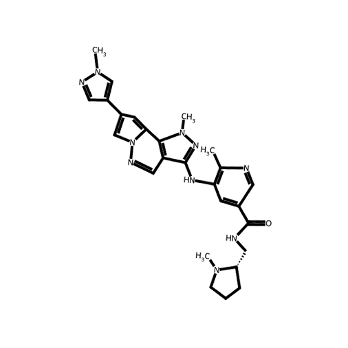 Cc1ncc(C(=O)NC[C@@H]2CCCN2C)cc1Nc1nn(C)c2c1cnn1cc(-c3cnn(C)c3)cc21